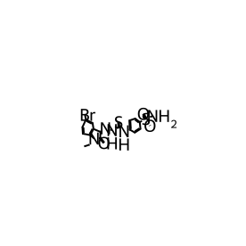 CCN1C(=O)C(=NNC(=S)Nc2ccc(S(N)(=O)=O)cc2)c2cc(Br)ccc21